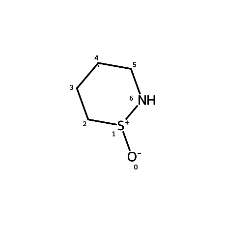 [O-][S+]1CC[CH]CN1